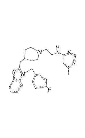 Cc1cc(NCCN2CCC(Cc3nc4ccccc4n3Cc3ccc(F)cc3)CC2)ncn1